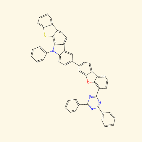 c1ccc(-c2nc(-c3ccccc3)nc(-c3cccc4c3oc3cc(-c5ccc6c(c5)c5ccc7c8ccccc8sc7c5n6-c5ccccc5)ccc34)n2)cc1